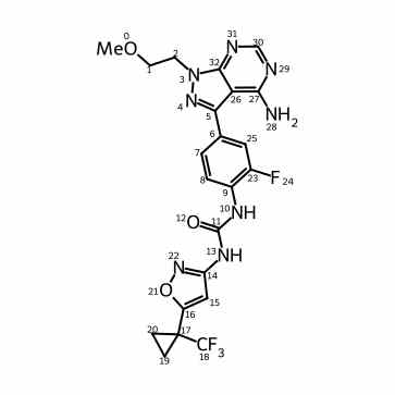 COCCn1nc(-c2ccc(NC(=O)Nc3cc(C4(C(F)(F)F)CC4)on3)c(F)c2)c2c(N)ncnc21